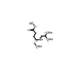 COC[C@H](CCC(=O)OC(C)(C)C)NCC(OC)OC